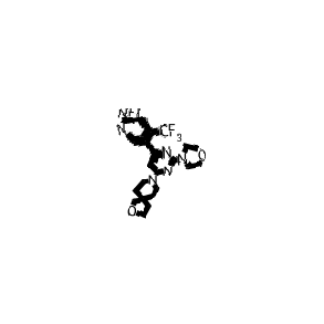 Nc1cc(C(F)(F)F)c(-c2cc(N3CCC4(CCOC4)CC3)nc(N3CCOCC3)n2)cn1